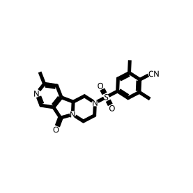 Cc1cc2c(cn1)C(=O)N1CCN(S(=O)(=O)c3cc(C)c(C#N)c(C)c3)CC21